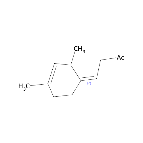 CC(=O)C/C=C1/CCC(C)=CC1C